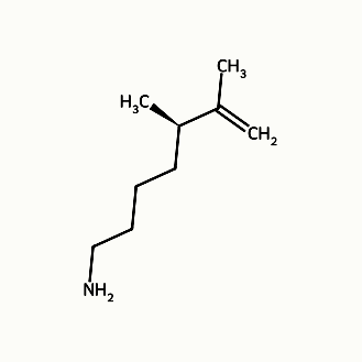 C=C(C)[C@H](C)CCCCN